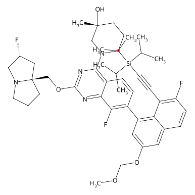 COCOc1cc(-c2ccc3c(N4CCC[C@@](C)(O)C4)nc(OC[C@@]45CCCN4C[C@H](F)C5)nc3c2F)c2c(C#C[Si](C(C)C)(C(C)C)C(C)C)c(F)ccc2c1